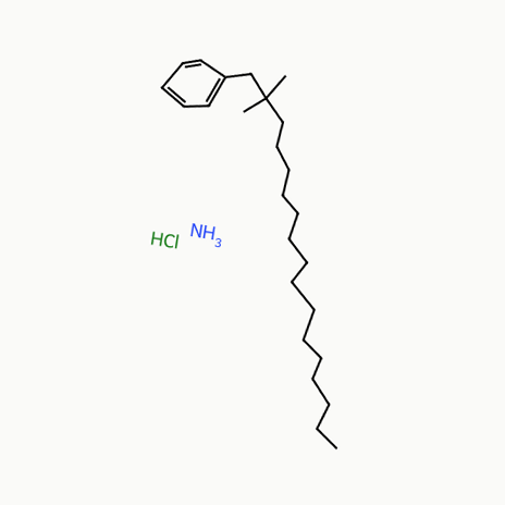 CCCCCCCCCCCCCCCC(C)(C)Cc1ccccc1.Cl.N